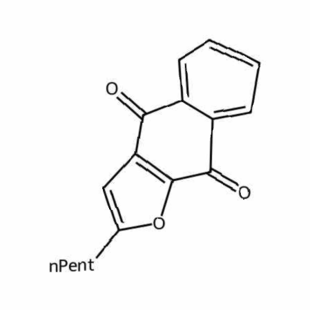 CCCCCc1cc2c(o1)C(=O)c1ccccc1C2=O